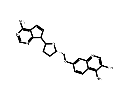 N#Cc1cnc2cc(OC[C@@H]3CCC(C4C=Cc5c(N)ncnc54)O3)ccc2c1N